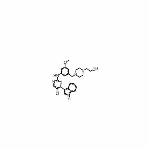 COc1cc(CN2CCN(CCO)CC2)cc(Nc2ncc(Cl)c(-c3c[nH]c4ccccc34)n2)c1